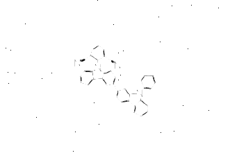 N#Cc1cccc(C#N)c1-n1c2ccccc2c2cc(-c3ccc4c5ccccc5n(-c5ccccc5)c4c3)ccc21